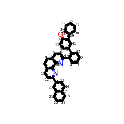 c1ccc(-c2ccc3ccc4ccc(-c5ccc6ccccc6c5)nc4c3n2)c(-c2ccc3oc4ccccc4c3c2)c1